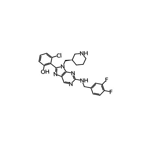 Oc1cccc(Cl)c1-c1nc2cnc(NCc3ccc(F)c(F)c3)nc2n1C[C@@H]1CCCNC1